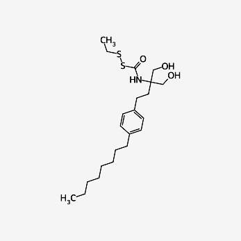 CCCCCCCCc1ccc(CCC(CO)(CO)NC(=O)SSCC)cc1